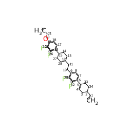 C=CC1CC=C(c2ccc(CCC3CCC(c4ccc(OCC)c(F)c4F)CC3)c(F)c2F)CC1